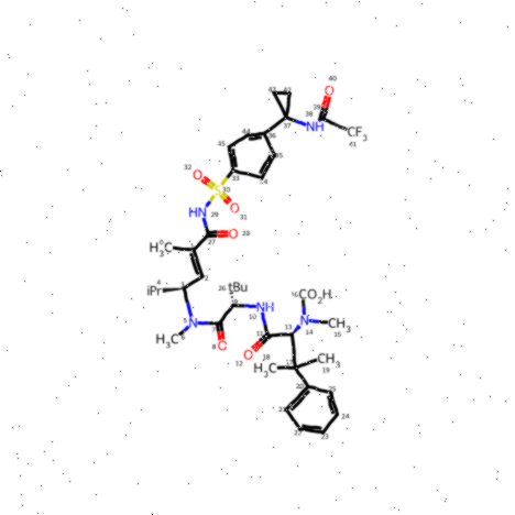 C/C(=C\[C@H](C(C)C)N(C)C(=O)[C@@H](NC(=O)[C@@H](N(C)C(=O)O)C(C)(C)c1ccccc1)C(C)(C)C)C(=O)NS(=O)(=O)c1ccc(C2(NC(=O)C(F)(F)F)CC2)cc1